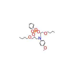 CCCCOCC1CN(c2ccc(OC)cc2)CC(COCCCC)OP(=O)(Oc2ccccc2)O1